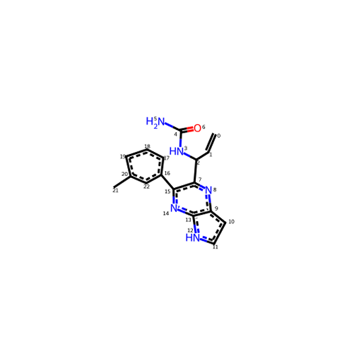 C=CC(NC(N)=O)c1nc2cc[nH]c2nc1-c1cccc(C)c1